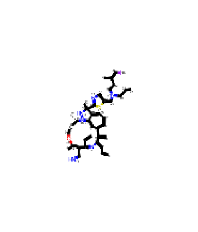 C=C\C=C1/N=C(C=C)/C(C=N)=C(/C)OCC[C@H](C)N2NC(C)(c3ncc(CN(CCC)CC/C(C)=C\I)s3)C3=CC=C=C(C=C32)C1=C